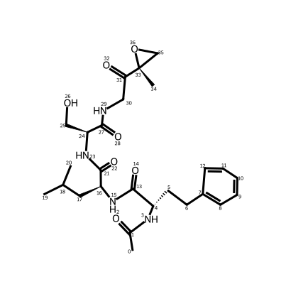 CC(=O)N[C@@H](CCc1ccccc1)C(=O)N[C@@H](CC(C)C)C(=O)N[C@@H](CO)C(=O)NCC(=O)[C@@]1(C)CO1